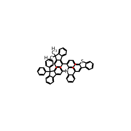 CC1(C)c2ccccc2-c2c(-c3ccccc3N(c3ccc4c(c3)-c3ccccc3C4(c3ccccc3)c3ccccc3)c3ccccc3-c3ccc4sc5ccccc5c4c3)cccc21